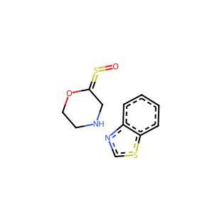 O=S=C1CNCCO1.c1ccc2scnc2c1